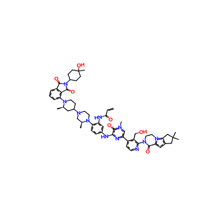 C=CC(=O)Nc1cc(Nc2nc(-c3ccnc(N4CCn5c(cc6c5CC(C)(C)C6)C4=O)c3CO)cn(C)c2=O)ccc1N1CCN(C2CCN(c3cccc4c3C(=O)N(C3CCC(C)(O)CC3)C4=O)[C@H](C)C2)C[C@@H]1C